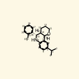 CC(C)c1ccc2c(c1)[C@@H]1OCCC[C@@H]1[C@@H](c1ccccc1F)N2